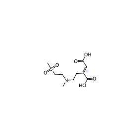 CN(CC/C(=C\C(=O)O)C(=O)O)CCS(C)(=O)=O